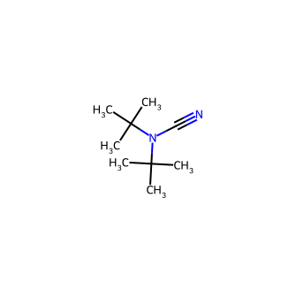 CC(C)(C)N(C#N)C(C)(C)C